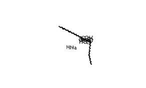 CCCCCCCCCCCCCCCCCC(=O)OC(=O)C(O)C(O)C(=O)OC(=O)CCCCCCCCCCCCCCCCC.[NaH]